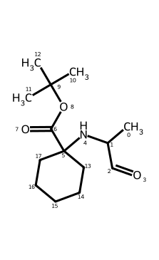 CC(C=O)NC1(C(=O)OC(C)(C)C)CCCCC1